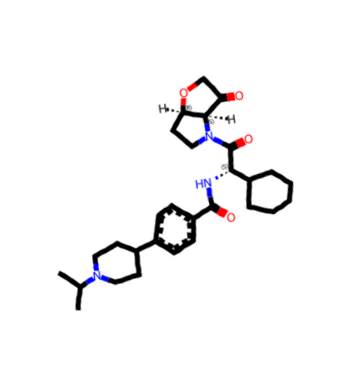 CC(C)N1CCC(c2ccc(C(=O)N[C@H](C(=O)N3CC[C@H]4OCC(=O)[C@H]43)C3CCCCC3)cc2)CC1